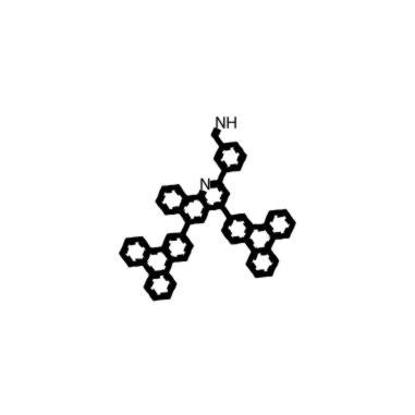 N=Cc1cccc(-c2cc(-c3ccc4c5ccccc5c5ccccc5c4c3)c3cc(-c4ccc5c6ccccc6c6ccccc6c5c4)c4ccccc4c3n2)c1